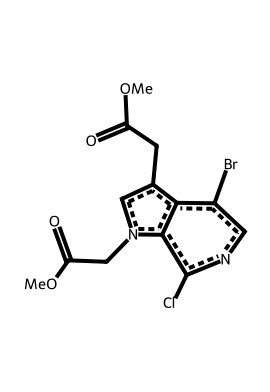 COC(=O)Cc1cn(CC(=O)OC)c2c(Cl)ncc(Br)c12